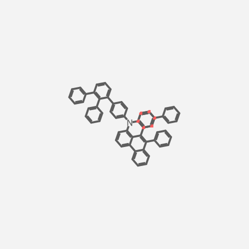 c1ccc(-c2ccc(N(c3ccc(-c4cccc(-c5ccccc5)c4-c4ccccc4)cc3)c3cccc4c3c(-c3ccccc3)c(-c3ccccc3)c3ccccc34)cc2)cc1